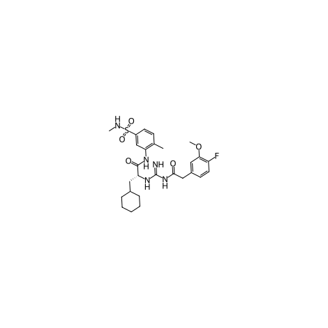 CNS(=O)(=O)c1ccc(C)c(NC(=O)[C@@H](CC2CCCCC2)NC(=N)NC(=O)Cc2ccc(F)c(OC)c2)c1